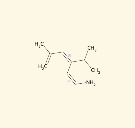 C=C(C)/C=C(\C=C/N)C(C)C